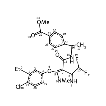 CCc1cc(O/C(NC)=C(/C(=N)C(F)F)C(=O)NC(C)c2ccc(C(=O)OC)cc2)ccc1Cl